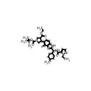 CCOC(=O)C1CN(C(=O)OC(C)(C)C)CC1c1ccc2[nH]c([C@@H](NC(=O)c3ccnn3CC)C3CCC(C)CC3)nc2c1F